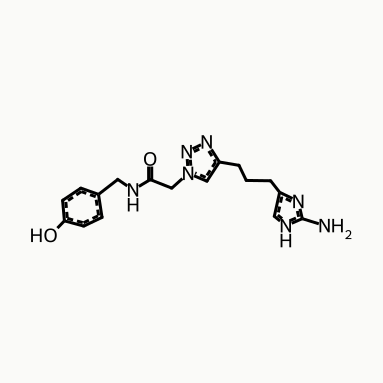 Nc1nc(CCCc2cn(CC(=O)NCc3ccc(O)cc3)nn2)c[nH]1